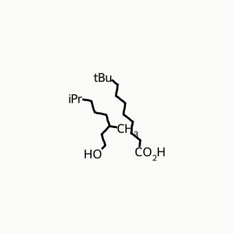 CC(C)(C)CCCCCCCC(=O)O.CC(C)CCCC(C)CCO